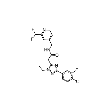 CCn1nc(-c2ccc(Cl)c(F)c2)nc1CC(=O)NCc1ccnc(C(F)F)c1